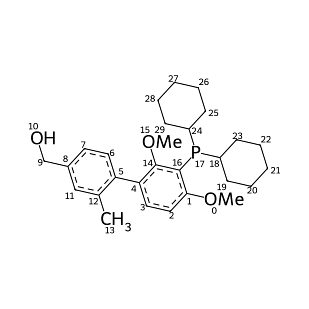 COc1ccc(-c2ccc(CO)cc2C)c(OC)c1P(C1CCCCC1)C1CCCCC1